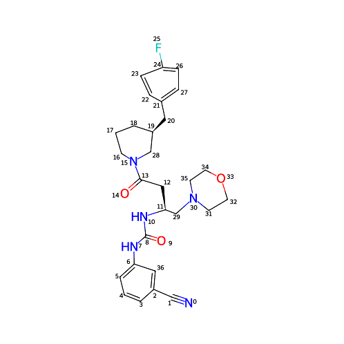 N#Cc1cccc(NC(=O)N[C@@H](CC(=O)N2CCC[C@@H](Cc3ccc(F)cc3)C2)CN2CCOCC2)c1